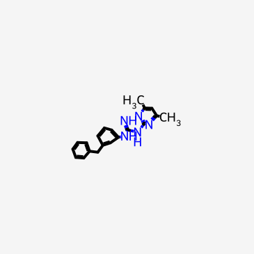 Cc1cc(C)nc(NC(=N)Nc2cccc(Cc3ccccc3)c2)n1